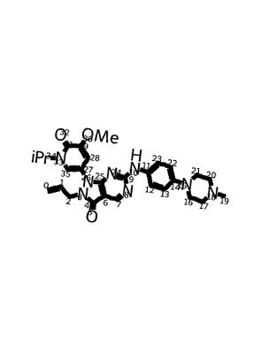 C=CCn1c(=O)c2cnc(Nc3ccc(N4CCN(C)CC4)cc3)nc2n1-c1cc(OC)c(=O)n(C(C)C)c1